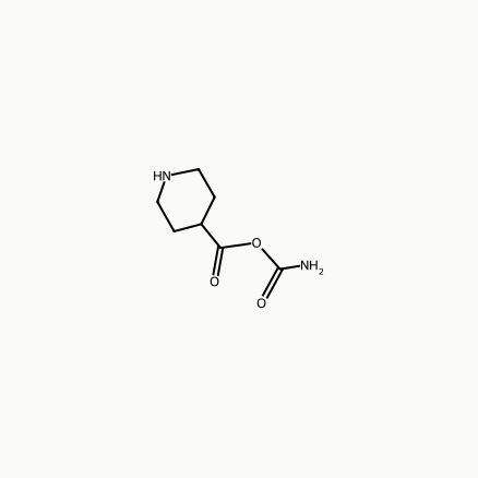 NC(=O)OC(=O)C1CCNCC1